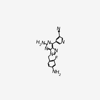 N#Cc1cncc(-c2nc(N)nc3c2ncn3Cc2ccc(N)cc2F)c1